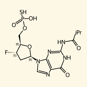 CC(C)C(=O)Nc1nc2c(ncn2[C@H]2C[C@H](F)[C@@H](COP(=O)(O)S)O2)c(=O)[nH]1